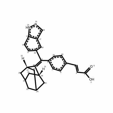 O=C(O)C=Cc1ccc(C(c2ccc3[nH]ncc3c2)=C2[C@H]3CC4CC(C3)C[C@@H]2C4)cc1